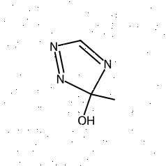 CC1(O)N=CN=N1